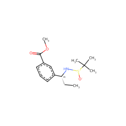 CC[C@@H](N[S+]([O-])C(C)(C)C)c1cccc(C(=O)OC)c1